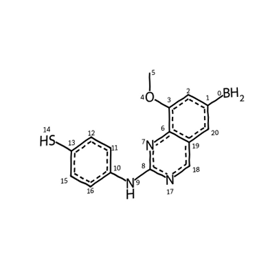 Bc1cc(OC)c2nc(Nc3ccc(S)cc3)ncc2c1